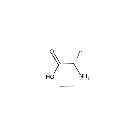 CC.C[C@H](N)C(=O)O